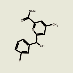 CNC(=O)c1cc(C)cc(C(O)c2cccc(F)c2)n1